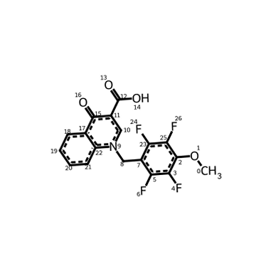 COc1c(F)c(F)c(Cn2cc(C(=O)O)c(=O)c3ccccc32)c(F)c1F